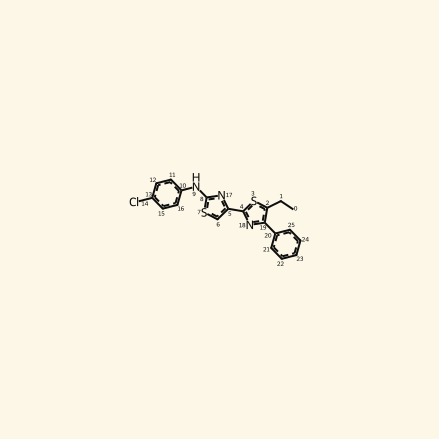 CCc1sc(-c2csc(Nc3ccc(Cl)cc3)n2)nc1-c1ccccc1